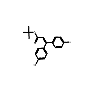 CC(C)(C)OC(=O)C=C(c1ccc(Br)cc1)c1ccc(Br)cc1